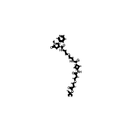 CN1C(=O)C[C@H](C(=O)NCCOCCNC(=O)[C@H]2C[C@@H](NC(=O)CCOCCC(=O)OC(C)(C)C)C2)[C@H]1c1cccnc1